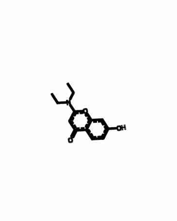 CCN(CC)c1cc(=O)c2ccc(O)cc2o1